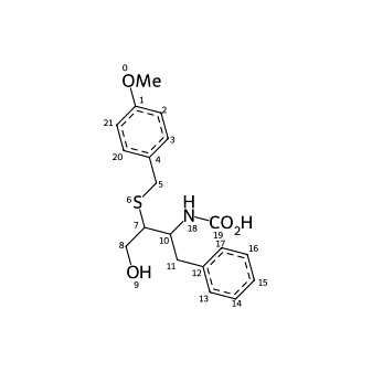 COc1ccc(CSC(CO)C(Cc2ccccc2)NC(=O)O)cc1